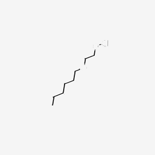 CCCCCCOCCOCl